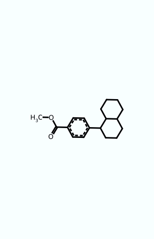 COC(=O)c1ccc(C2CCCC3CCCCC32)cc1